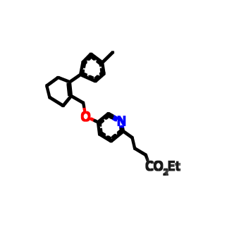 CCOC(=O)CCCc1ccc(OCC2=C(c3ccc(C)cc3)CCCC2)cn1